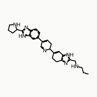 CCCNCc1nc2c([nH]1)C=C(C1CC=C(c3ccc4nc(C5CCCN5)[nH]c4c3)C=N1)CC2